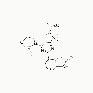 CC(=O)N1Cc2c(N3CCOC[C@H]3C)nc(-c3cccc4c3CC(=O)N4)nc2C1(C)C